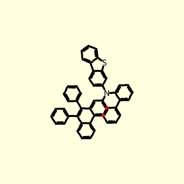 c1ccc(-c2ccccc2N(c2ccc3c(c2)sc2ccccc23)c2ccc3c(c2)c(-c2ccccc2)c(-c2ccccc2)c2ccccc23)cc1